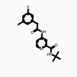 Cc1cc(F)cc(CC(=O)Nc2ccnc(C(=O)NC(C)(C)C)c2)c1